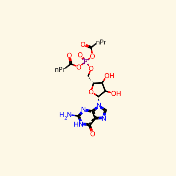 CCCC(=O)OP(=O)(OC[C@H]1O[C@@H](n2cnc3c(=O)[nH]c(N)nc32)C(O)C1O)OC(=O)CCC